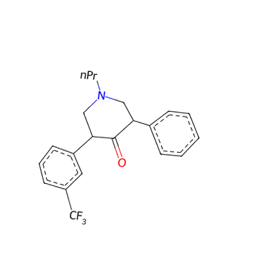 CCCN1CC(c2ccccc2)C(=O)C(c2cccc(C(F)(F)F)c2)C1